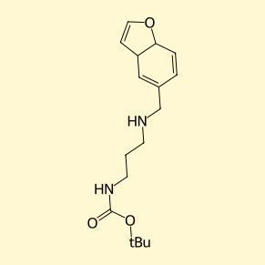 CC(C)(C)OC(=O)NCCCNCC1=CC2C=COC2C=C1